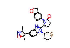 Cc1noc(C)c1-c1ccc2c(c1)nc([C@@H]1CCC(=O)N1c1ccc3c(c1)CCO3)n2C1CCCSC1